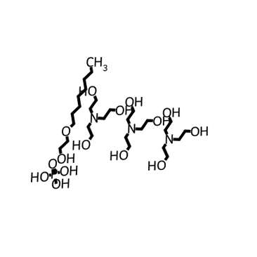 CCCCCCCCOCCO.O=P(O)(O)O.OCCN(CCO)CCO.OCCN(CCO)CCO.OCCN(CCO)CCO